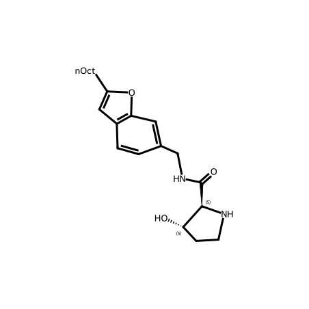 CCCCCCCCc1cc2ccc(CNC(=O)[C@H]3NCC[C@@H]3O)cc2o1